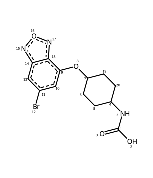 O=C(O)NC1CCC(Oc2cc(Br)cc3nonc23)CC1